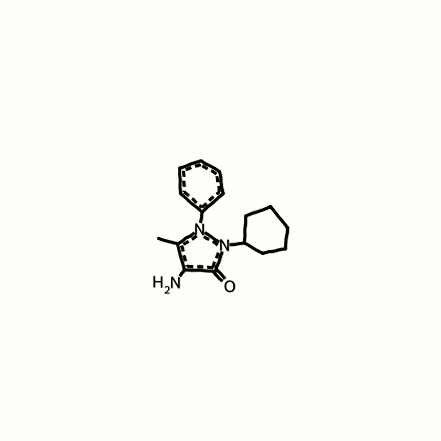 Cc1c(N)c(=O)n(C2CCCCC2)n1-c1ccccc1